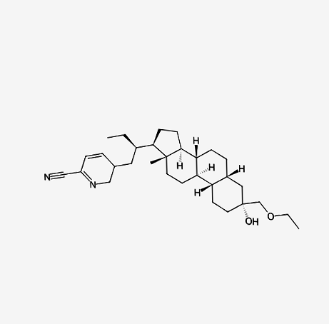 CCOC[C@@]1(O)CC[C@H]2[C@H](CC[C@@H]3[C@@H]2CC[C@]2(C)[C@@H]([C@H](CC)CC4C=CC(C#N)=NC4)CC[C@@H]32)C1